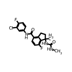 CNC(=O)NC1(C)CCc2c(C(=O)Nc3ccc(F)c(Cl)c3)ccc(F)c21